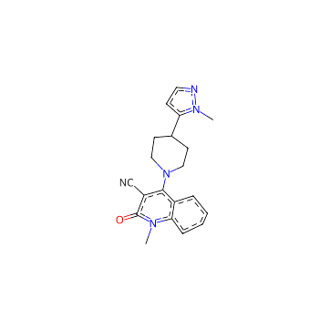 Cn1nccc1C1CCN(c2c(C#N)c(=O)n(C)c3ccccc23)CC1